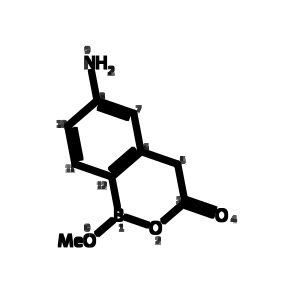 COB1OC(=O)Cc2cc(N)ccc21